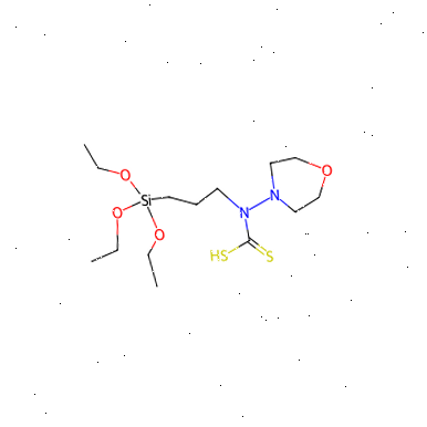 CCO[Si](CCCN(C(=S)S)N1CCOCC1)(OCC)OCC